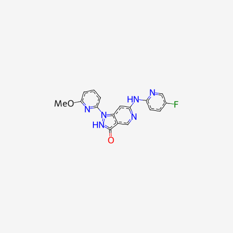 COc1cccc(-n2[nH]c(=O)c3cnc(Nc4ccc(F)cn4)cc32)n1